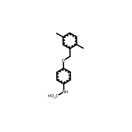 Cc1ccc(C)c(COc2ccc(NC(=O)O)cc2)c1